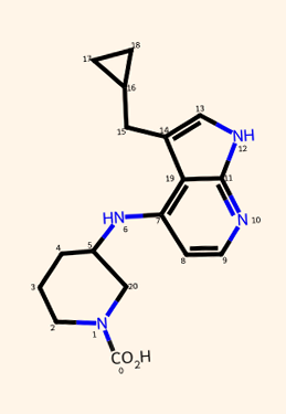 O=C(O)N1CCCC(Nc2ccnc3[nH]cc(CC4CC4)c23)C1